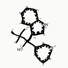 CC(C)(C)C(O)(c1cccnc1)c1c[nH]c2ccccc12